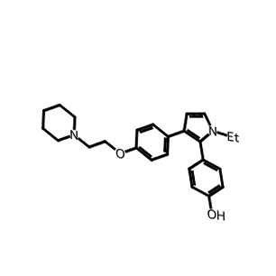 CCn1ccc(-c2ccc(OCCN3CCCCC3)cc2)c1-c1ccc(O)cc1